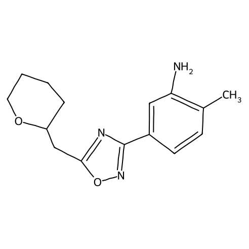 Cc1ccc(-c2noc(CC3CCCCO3)n2)cc1N